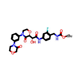 CC(C)(C)OC(=O)NCc1ccc(NC(=O)[C@H](O)[C@H]2OCCN(c3cccc(N4CCOCC4=O)c3)C2=O)cc1F